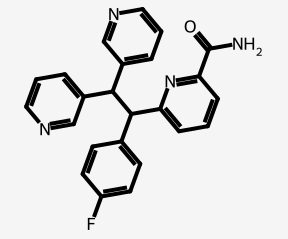 NC(=O)c1cccc(C(c2ccc(F)cc2)C(c2cccnc2)c2cccnc2)n1